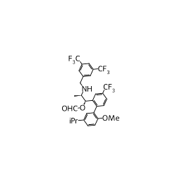 COc1ccc(C(C)C)cc1-c1ccc(C(F)(F)F)cc1[C@@H](OC=O)[C@@H](C)NCc1cc(C(F)(F)F)cc(C(F)(F)F)c1